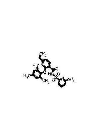 C=Cc1ccc(C(=O)NS(=O)(=O)c2cccc(N)n2)c(Oc2c(C)cc(C)cc2C)n1